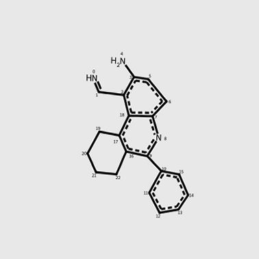 N=Cc1c(N)ccc2nc(-c3ccccc3)c3c(c12)CCCC3